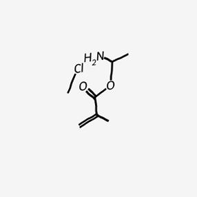 C=C(C)C(=O)OC(C)N.CCl